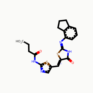 O=C(O)CCC(=O)Nc1ncc(/C=C2\SC(=Nc3cccc4c3CCC4)NC2=O)s1